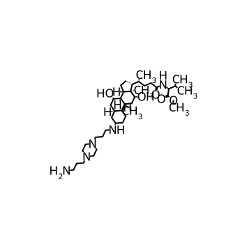 COC(=O)[C@@H](NC(=O)CC[C@@H](C)[C@H]1CC[C@H]2[C@@H]3[C@H](O)C[C@@H]4C[C@@H](NCCCN5CCN(CCCN)CC5)CC[C@]4(C)[C@H]3C[C@H](O)[C@]12C)C(C)C